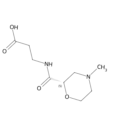 CN1CCO[C@H](C(=O)NCCC(=O)O)C1